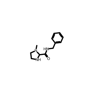 CN1CCNC1C(=O)NCc1ccccc1